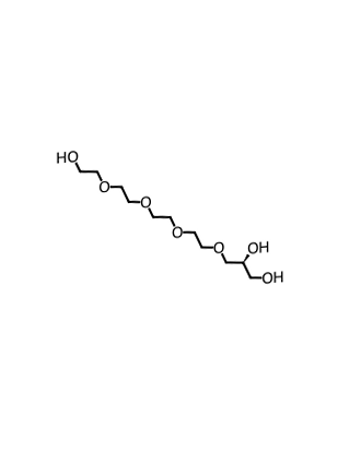 OCCOCCOCCOCCOC[C@@H](O)CO